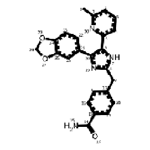 Cc1cccc(-c2[nH]c(Cc3ccc(C(N)=O)cc3)nc2-c2ccc3c(c2)OCO3)n1